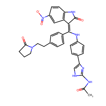 CC(=O)Nc1nc(-c2ccc(N/C(=C3\C(=O)Nc4ccc([N+](=O)[O-])cc43)c3ccc(CCN4CCCC4=O)cc3)cc2)c[nH]1